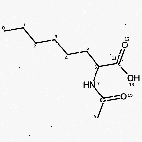 CCCCCCC(NC(C)=O)C(=O)O